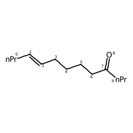 CCCC=CCCCCC(=O)CCC